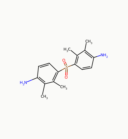 Cc1c(N)ccc(S(=O)(=O)c2ccc(N)c(C)c2C)c1C